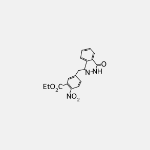 CCOC(=O)c1cc(Cc2n[nH]c(=O)c3ccccc23)ccc1[N+](=O)[O-]